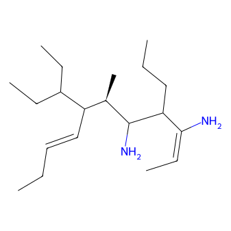 C/C=C(/N)C(CCC)C(N)[C@H](C)C(/C=C/CC)C(CC)CC